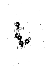 COc1ccc(Oc2cc(-c3ccc4c(c3)CC[C@H](CNC[C@@H](O)c3cccnc3)O4)ccc2C(=O)O)cc1